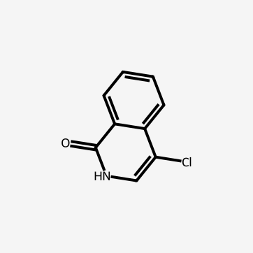 O=c1[nH]cc(Cl)c2ccccc12